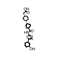 O=C(O)C[C@H]1CC[C@H](c2ccc(C(=O)Nc3nnc(-c4cccc(O)c4)s3)cc2)CC1